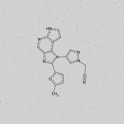 Cc1ccc(-c2nc3cnc4[nH]ccc4c3n2-c2cnn(CC#N)c2)o1